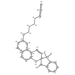 CN1c2ccccc2C(C)(C)C12C=Nc1c(ccc3ccc(OCCCCN=[N+]=[N-])cc13)O2